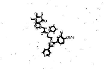 COc1ccc(-c2nc(-c3ccncc3)nn2CCN(C(=O)Cn2cnc3c2c(=O)n(C)c(=O)n3C)C2CCCC2)cc1Cl